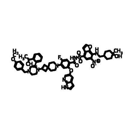 COc1ccc(CN2CCN(C3CC4(CCN(c5cc(Oc6cnc7[nH]ccc7c6)c(C(=O)NS(=O)(=O)c6cc([N+](=O)[O-])c(NCC7CCC(C)(O)CC7)c7occc67)cc5F)CC4)C3)[C@H](c3ccccc3C(C)C)C2)cc1